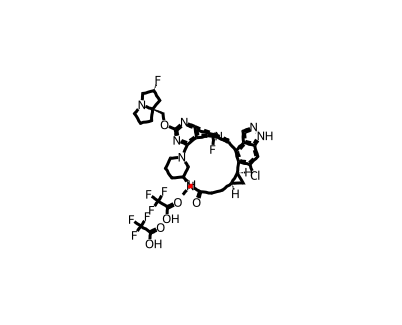 CN1C(=O)CC[C@@H]2C[C@@H]2c2c(Cl)cc3[nH]ncc3c2-c2ncc3c(nc(OC[C@@]45CCCN4C[C@H](F)C5)nc3c2F)N2CCC[C@@H]1C2.O=C(O)C(F)(F)F.O=C(O)C(F)(F)F